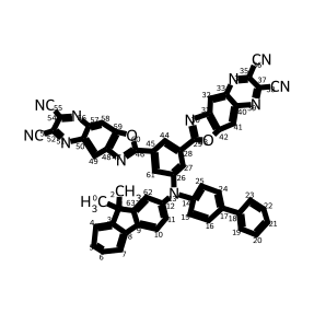 CC1(C)c2ccccc2-c2ccc(N(c3ccc(-c4ccccc4)cc3)c3cc(-c4nc5cc6nc(C#N)c(C#N)nc6cc5o4)cc(-c4nc5cc6nc(C#N)c(C#N)nc6cc5o4)c3)cc21